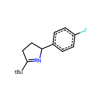 CC(C)(C)C1=NC(c2ccc(F)cc2)CC1